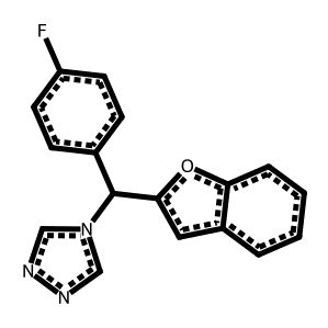 Fc1ccc(C(c2cc3ccccc3o2)n2cnnc2)cc1